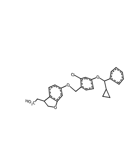 O=C(O)CC1COc2cc(OCc3ccc(OC(c4ccccc4)C4CC4)cc3Cl)ccc21